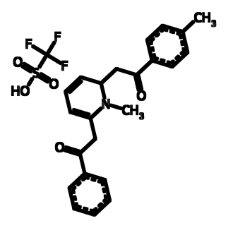 Cc1ccc(C(=O)CC2C=CC=C(CC(=O)c3ccccc3)N2C)cc1.O=S(=O)(O)C(F)(F)F